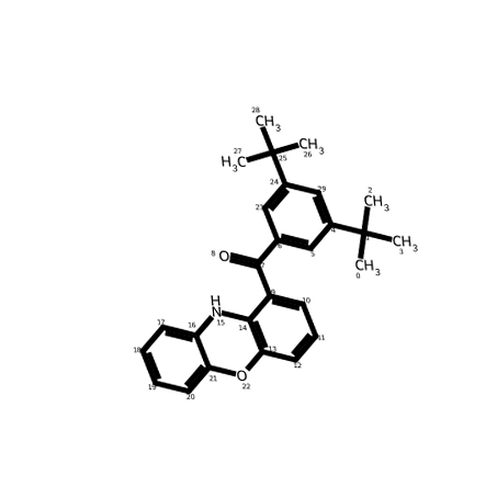 CC(C)(C)c1cc(C(=O)c2cccc3c2Nc2ccccc2O3)cc(C(C)(C)C)c1